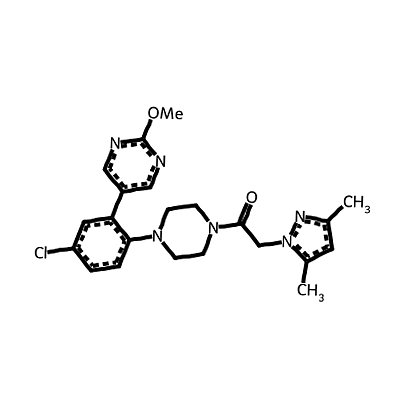 COc1ncc(-c2cc(Cl)ccc2N2CCN(C(=O)Cn3nc(C)cc3C)CC2)cn1